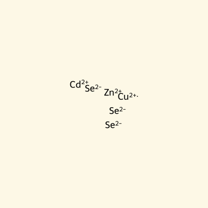 [Cd+2].[Cu+2].[Se-2].[Se-2].[Se-2].[Zn+2]